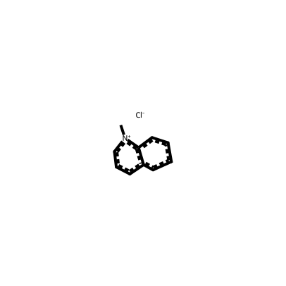 C[n+]1cccc2ccccc21.[Cl-]